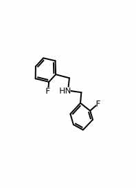 Fc1ccccc1CNCc1ccccc1F